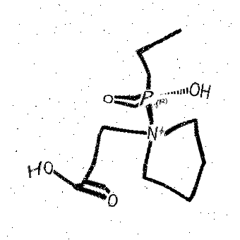 CC[P@@](=O)(O)[N+]1(CC(=O)O)CCCC1